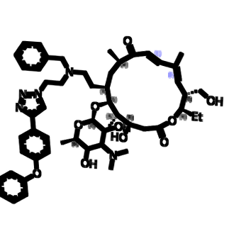 CC[C@H]1OC(=O)C[C@@H](O)[C@H](C)[C@@H](O[C@@H]2O[C@H](C)C(O)C(N(C)C)C2O)[C@@H](CCN(CCn2cc(-c3ccc(Oc4ccccc4)cc3)nn2)Cc2ccccc2)C[C@@H](C)C(=O)/C=C/C(C)=C/[C@@H]1CO